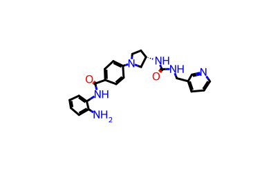 Nc1ccccc1NC(=O)c1ccc(N2CC[C@H](NC(=O)NCc3cccnc3)C2)cc1